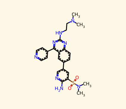 CN(C)CCNc1nc(-c2ccncc2)c2cc(-c3cnc(N)c(S(=O)(=O)N(C)C)c3)ccc2n1